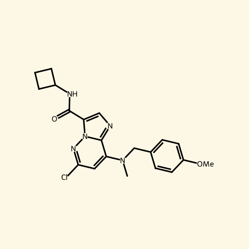 COc1ccc(CN(C)c2cc(Cl)nn3c(C(=O)NC4CCC4)cnc23)cc1